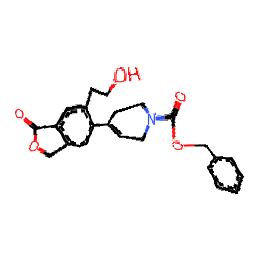 O=C1OCc2cc(C3=CCN(C(=O)OCc4ccccc4)CC3)c(CCO)cc21